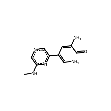 CNc1cncc(C(/C=C(/N)C=O)=C/N)n1